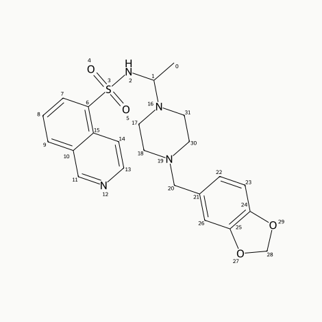 CC(NS(=O)(=O)c1cccc2cnccc12)N1CCN(Cc2ccc3c(c2)OCO3)CC1